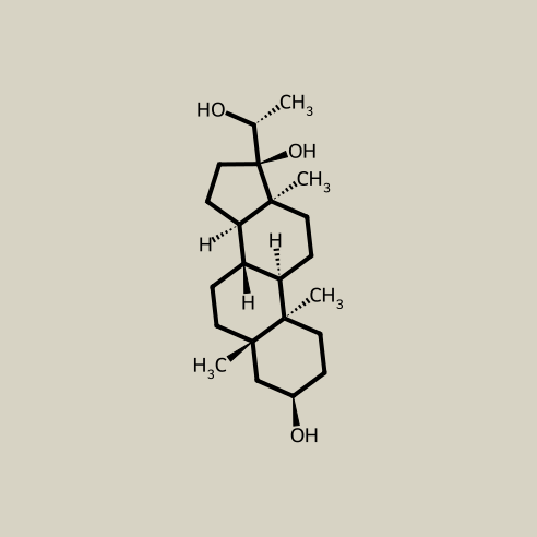 C[C@@H](O)[C@@]1(O)CC[C@@H]2[C@H]3CC[C@@]4(C)C[C@H](O)CC[C@]4(C)[C@@H]3CC[C@@]21C